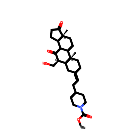 CC(C)(C)OC(=O)N1CCC(CC=C2CC[C@]3(C)C4CC[C@]5(C)C(=O)CCC5C4C(=O)[C@H](CO)C3C2)CC1